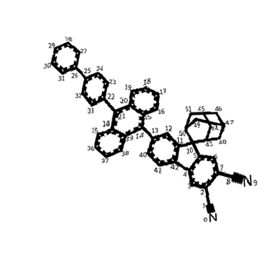 N#Cc1cc2c(cc1C#N)C1(c3cc(-c4c5ccccc5c(-c5ccc(-c6ccccc6)cc5)c5ccccc45)ccc3-2)C2CC3CC(C2)CC1C3